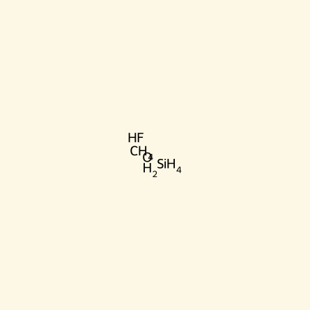 C.F.O.[SiH4]